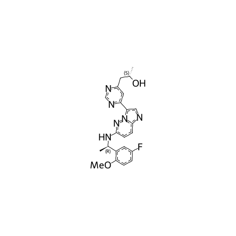 COc1ccc(F)cc1[C@@H](C)Nc1ccc2ncc(-c3cc(C[C@H](C)O)ncn3)n2n1